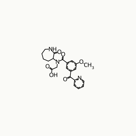 COc1cc(C(=O)c2ccccn2)cc(C(=O)N(CC(=O)O)C2CCCCNC2=O)c1